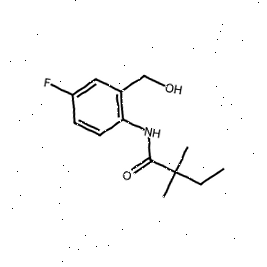 CCC(C)(C)C(=O)Nc1ccc(F)cc1CO